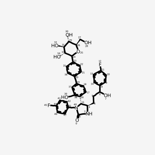 O=C1N[C@H](CCC(O)c2ccc(F)cc2)[C@@H](c2ccc(-c3ccc(C4O[C@H](CO)[C@@H](O)[C@H](O)[C@H]4O)cc3)cc2O)N1c1ccc(F)cc1